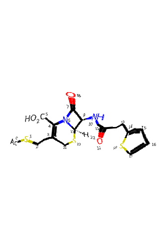 CC(=O)SCC1=C(C(=O)O)N2C(=O)[C@@H](NC(=O)Cc3cccs3)[C@H]2SC1